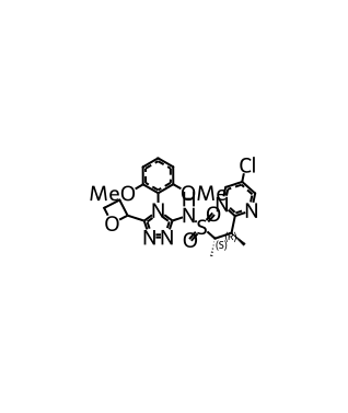 COc1cccc(OC)c1-n1c(NS(=O)(=O)[C@@H](C)[C@H](C)c2ncc(Cl)cn2)nnc1C1CCO1